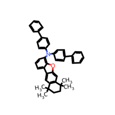 CC1(C)CCC(C)(C)c2cc3c(cc21)oc1c(N(c2ccc(-c4ccccc4)cc2)c2ccc(-c4ccccc4)cc2)cccc13